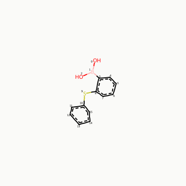 OB(O)c1ccccc1Sc1ccccc1